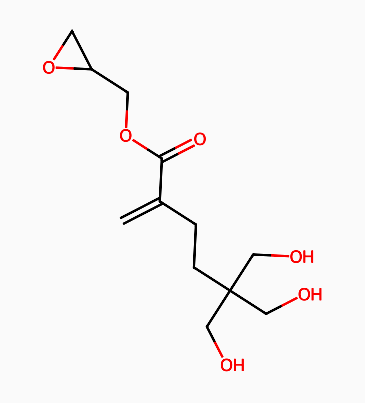 C=C(CCC(CO)(CO)CO)C(=O)OCC1CO1